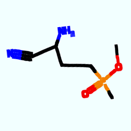 COP(C)(=O)CCC(N)C#N